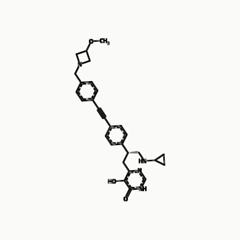 COC1CN(Cc2ccc(C#Cc3ccc([C@H](CNC4CC4)Cc4nc[nH]c(=O)c4O)cc3)cc2)C1